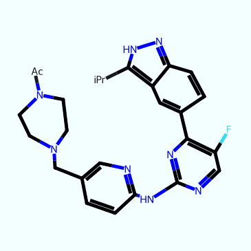 CC(=O)N1CCN(Cc2ccc(Nc3ncc(F)c(-c4ccc5n[nH]c(C(C)C)c5c4)n3)nc2)CC1